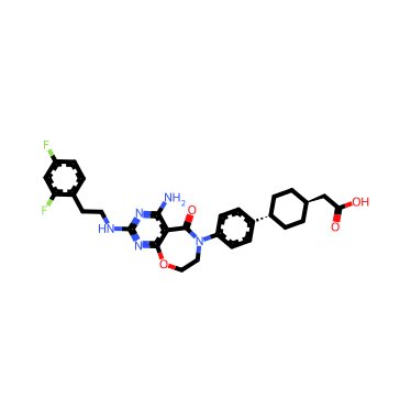 Nc1nc(NCCc2ccc(F)cc2F)nc2c1C(=O)N(c1ccc([C@H]3CC[C@H](CC(=O)O)CC3)cc1)CCO2